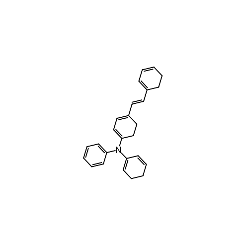 C1=CCCC(/C=C/C2=CC=C(N(C3=CCCC=C3)c3ccccc3)CC2)=C1